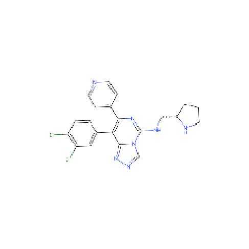 Clc1ccc(-c2c(-c3ccncc3)nc(NC[C@@H]3CCCN3)n3cnnc23)cc1Cl